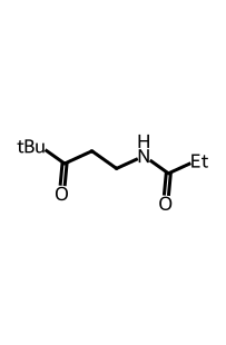 CCC(=O)NCCC(=O)C(C)(C)C